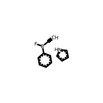 C#CB(F)c1ccccc1.c1cc[nH]c1